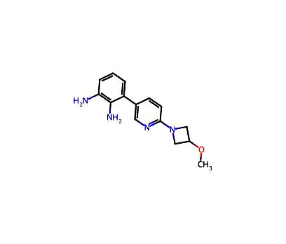 COC1CN(c2ccc(-c3cccc(N)c3N)cn2)C1